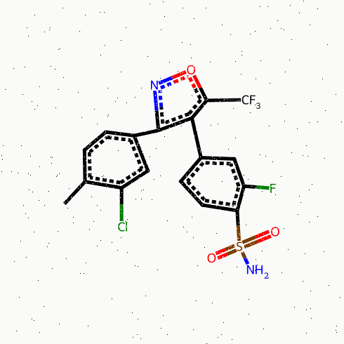 Cc1ccc(-c2noc(C(F)(F)F)c2-c2ccc(S(N)(=O)=O)c(F)c2)cc1Cl